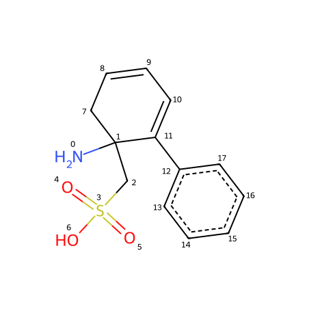 NC1(CS(=O)(=O)O)CC=CC=C1c1ccccc1